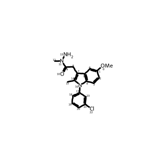 COc1ccc2c(c1)c(CC(=O)N(C)N)c(C)n2-c1cccc(Cl)c1